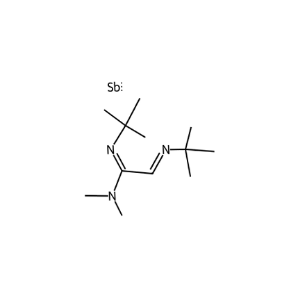 CN(C)C(C=NC(C)(C)C)=NC(C)(C)C.[Sb]